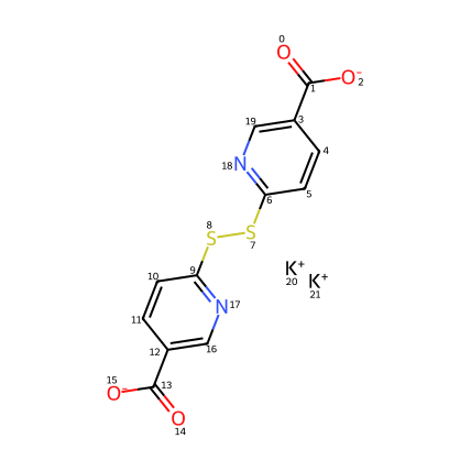 O=C([O-])c1ccc(SSc2ccc(C(=O)[O-])cn2)nc1.[K+].[K+]